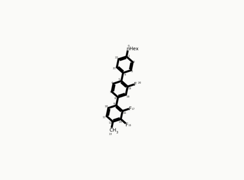 CCCCCCc1ccc(-c2ccc(-c3ccc(C)c(F)c3F)cc2F)cc1